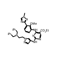 CCOC(=O)c1cnc(Nc2cnn(CCN(CC(C)C)CC(C)C)c2)nc1Nc1cccc(-c2ncn(C)n2)c1OC